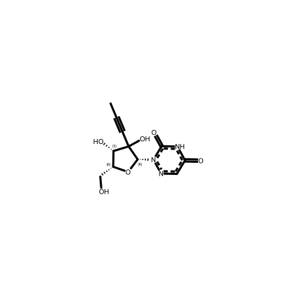 CC#CC1(O)[C@@H](O)[C@@H](CO)O[C@H]1n1ncc(=O)[nH]c1=O